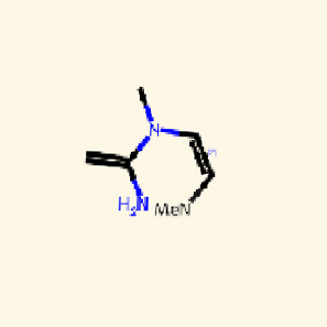 C=C(N)N(C)/C=C\NC